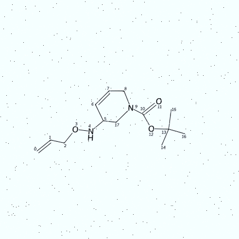 C=CCONC1C=CCN(C(=O)OC(C)(C)C)C1